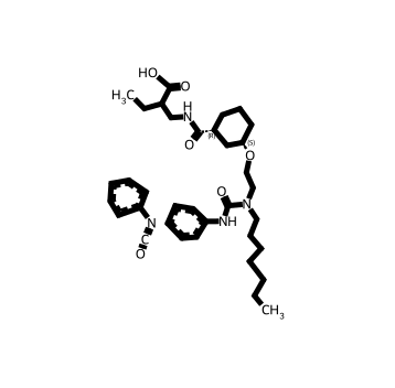 CCCCCCCN(CCO[C@H]1CCC[C@@H](C(=O)NCC(CC)C(=O)O)C1)C(=O)Nc1ccccc1.O=C=Nc1ccccc1